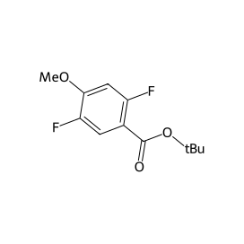 COc1cc(F)c(C(=O)OC(C)(C)C)cc1F